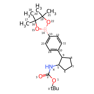 CC(C)(C)OC(=O)NC1CCCC1c1ccc(B2OC(C)(C)C(C)(C)O2)cc1